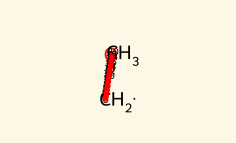 [CH2]CCCCCCCCCCCCCCCCCCOC